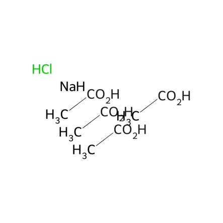 CC(=O)O.CC(=O)O.CC(=O)O.CC(=O)O.Cl.[NaH]